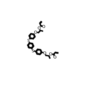 C=CC(=O)OC(C)COc1ccc(Sc2ccc(Sc3ccc(OCC(C)OC(=O)C=C)cc3)cc2)cc1